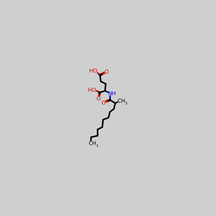 CCCCCCCCCC(C)C(=O)NC(CCC(=O)O)C(=O)O